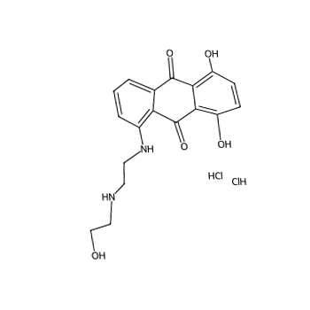 Cl.Cl.O=C1c2cccc(NCCNCCO)c2C(=O)c2c(O)ccc(O)c21